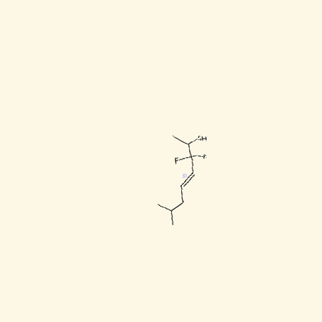 CC(C)C/C=C/C(F)(F)C(C)S